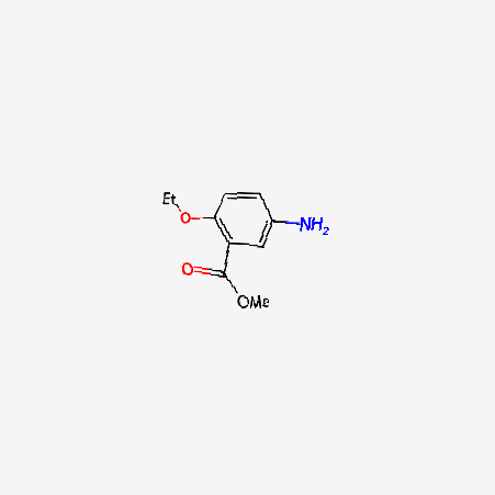 CCOc1ccc(N)cc1C(=O)OC